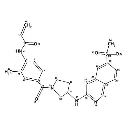 C=CC(=O)Nc1ccc(C(=O)N2CCC(Nc3ncc4ccc(S(C)(=O)=O)cc4n3)C2)cc1C